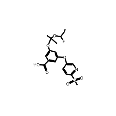 CC(C)(Oc1cc(Oc2ccc(S(C)(=O)=O)nc2)cc(C(=O)O)c1)OC(F)F